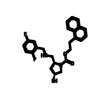 O=C(OCCc1cccc2ccccc12)N1C[C@H](S)C[C@H]1CNCc1cc(F)ccc1F